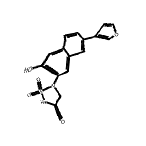 O=C1CN(c2cc3cc(-c4ccoc4)ccc3cc2O)S(=O)(=O)N1